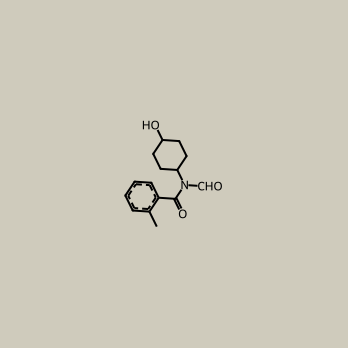 Cc1ccccc1C(=O)N(C=O)C1CCC(O)CC1